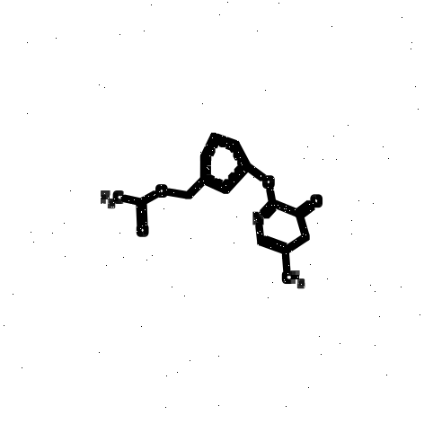 O=C1CC(C(F)(F)F)=CN=C1Oc1cccc(COC(=O)C(F)(F)F)c1